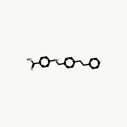 O=C(O)c1ccc(NCc2ccc(CCc3ccccc3)cc2)cc1